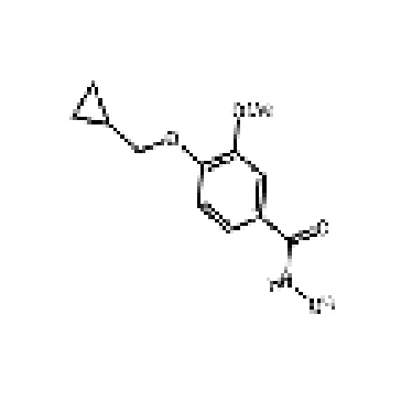 COc1cc(C(=O)NO)ccc1OCC1CC1